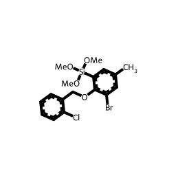 CO[Si](OC)(OC)c1cc(C)cc(Br)c1OCc1ccccc1Cl